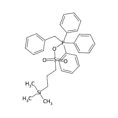 C[Si](C)(C)CCCS(=O)(=O)OP(Cc1ccccc1)(c1ccccc1)(c1ccccc1)c1ccccc1